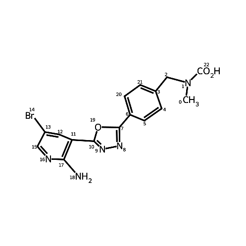 CN(Cc1ccc(-c2nnc(-c3cc(Br)cnc3N)o2)cc1)C(=O)O